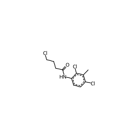 Cc1c(Cl)ccc(NC(=O)CCCCl)c1Cl